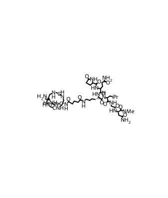 CNC(=O)C(CC(N)=O)NC(=O)CNC(=O)C(CC(C)C)NC(=O)[C@H](CCCCNC(=O)CCCC(=O)N[C@]12CNCCNC[C@](N)(CNCCNC1)[C@@H](C)NCCNC2)NC(=O)C(CCC(N)=O)NC(=O)C1CCC(=O)N1